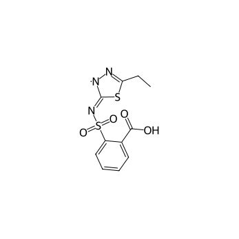 CCC1=N[N]C(=NS(=O)(=O)c2ccccc2C(=O)O)S1